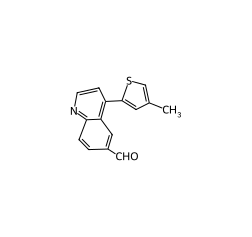 Cc1csc(-c2ccnc3ccc(C=O)cc23)c1